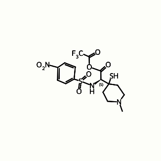 CN1CCC(S)([C@@H](NS(=O)(=O)c2ccc([N+](=O)[O-])cc2)C(=O)OC(=O)C(F)(F)F)CC1